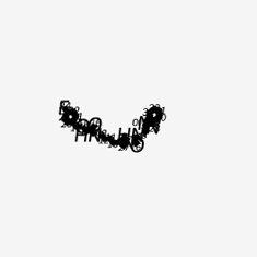 Cn1c(CNC(=O)N2CC(CCCCNC(=O)COCc3ccc(F)cc3)C2)nc2ccccc21